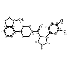 C[C@@H]1CCc2ncnc(N3CCN(C(=O)C4CNCC4c4ccc(Cl)c(Cl)c4)CC3)c21